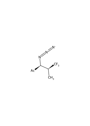 CC(=O)[C@@H](N=[N+]=[N-])[C@H](C)C(F)(F)F